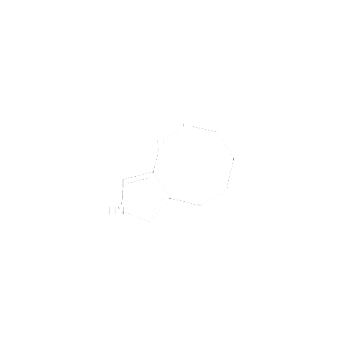 c1[nH]cc2c1CCCCOO2